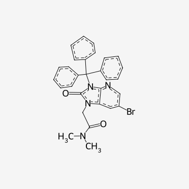 CN(C)C(=O)Cn1c(=O)n(C(c2ccccc2)(c2ccccc2)c2ccccc2)c2ncc(Br)cc21